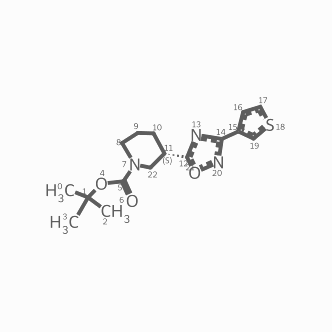 CC(C)(C)OC(=O)N1CCC[C@H](c2nc(-c3ccsc3)no2)C1